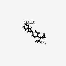 CCOC(=O)N1CCC2(CC(N3CCC(N(C(=O)C(F)(F)F)C4CC4)CC3)C2)C1